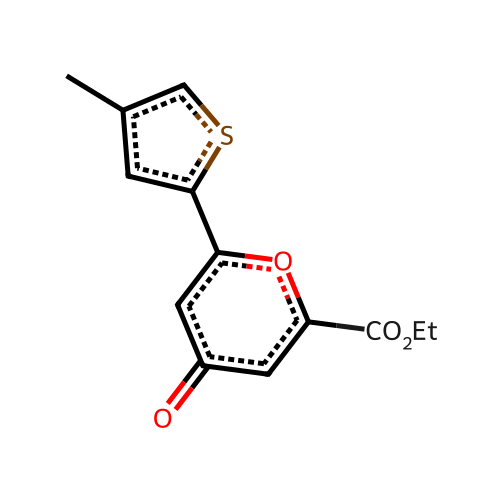 CCOC(=O)c1cc(=O)cc(-c2cc(C)cs2)o1